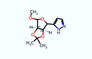 COC1OC(c2ccn[nH]2)[C@H]2OC(C)(C)O[C@@H]12